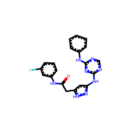 O=C(Cc1cc(Nc2ncnc(Nc3ccccc3)n2)n[nH]1)Nc1cccc(F)c1